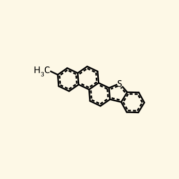 Cc1ccc2c(ccc3c2ccc2c4ccccc4sc23)c1